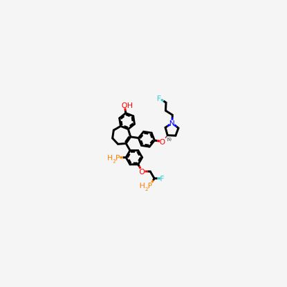 Oc1ccc2c(c1)CCCC(c1ccc(OCC(F)P)cc1P)=C2c1ccc(O[C@H]2CCN(CCCF)C2)cc1